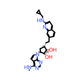 CNc1ncnc2c1ccn2[C@@H]1C[C@H](CCc2ccc3ccc(NCC4CC4)nc3c2)[C@@H](O)[C@H]1O